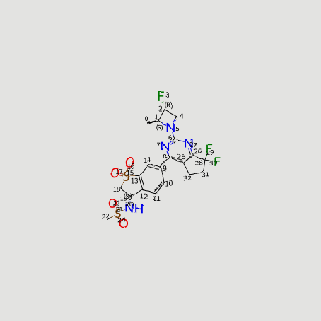 C[C@H]1[C@H](F)CN1c1nc(-c2ccc3c(c2)S(=O)(=O)C[C@H]3NS(C)(=O)=O)c2c(n1)C(F)(F)CC2